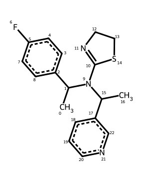 CC(c1ccc(F)cc1)N(C1=NCCS1)C(C)c1cccnc1